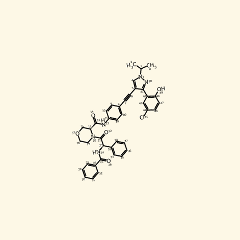 CC(C)n1cc(C#Cc2ccc(NC(=O)[C@@H]3COCCN3C(=O)[C@H](NC(=O)c3ccccc3)c3ccccc3)cc2)c(-c2cc(Cl)ccc2O)n1